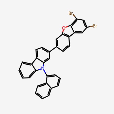 Brc1cc(Br)c2oc3cc(-c4ccc5c6ccccc6n(-c6cccc7ccccc67)c5c4)ccc3c2c1